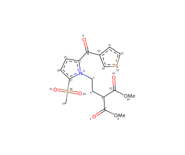 COC(=O)C(CCn1c(C(=O)c2ccsc2)ccc1S(C)(=O)=O)C(=O)OC